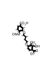 CCC(=O)c1ccc(OCCCCOc2cc(C(=O)O)ccc2OC)c(C)c1O